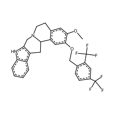 COc1cc2c(cc1OCc1ccc(C(F)(F)F)cc1C(F)(F)F)C1Cc3c([nH]c4ccccc34)CN1CC2